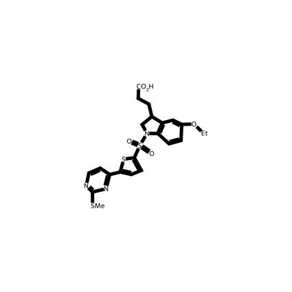 CCOc1ccc2c(c1)C(CCC(=O)O)CN2S(=O)(=O)c1ccc(-c2ccnc(SC)n2)s1